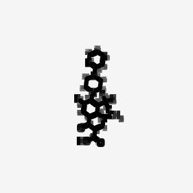 Cn1cc(C(=O)O)c(=O)c2cc(F)c(N3CCN(c4cnccn4)CC3)c(C(F)(F)F)c21